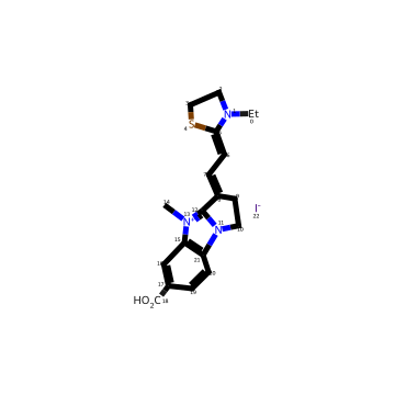 CCN1CCSC1=CC=C1CCn2c1[n+](C)c1cc(C(=O)O)ccc12.[I-]